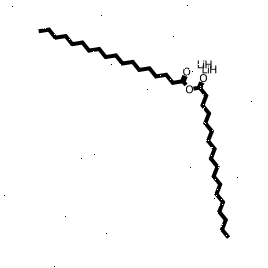 CCCCCCCCCCCCCCCCCC(=O)OC(=O)CCCCCCCCCCCCCCCCC.[LiH].[LiH]